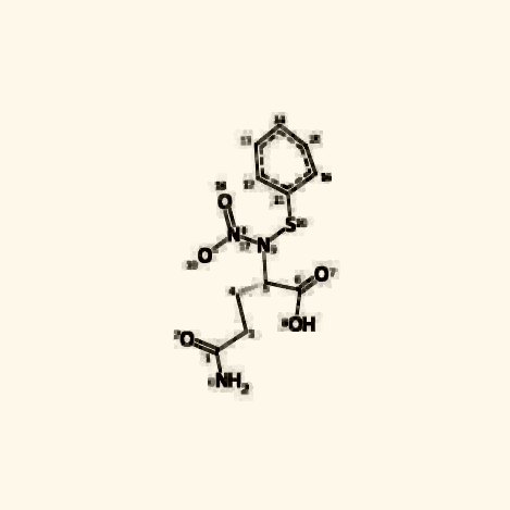 NC(=O)CC[C@@H](C(=O)O)N(Sc1ccccc1)[N+](=O)[O-]